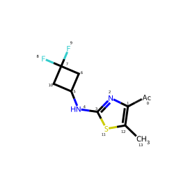 CC(=O)c1nc(NC2CC(F)(F)C2)sc1C